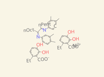 CCCCCCCCC(=Nc1ccc(C)c(C)c1)C(CCCCC)=Nc1ccc(C)c(C)c1.CCc1ccc(O)c(O)c1C(=O)[O-].CCc1ccc(O)c(O)c1C(=O)[O-].[Ni+2]